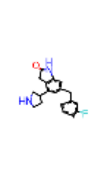 O=C1Cc2c(cc(Cc3cccc(F)c3)cc2C2CCNC2)N1